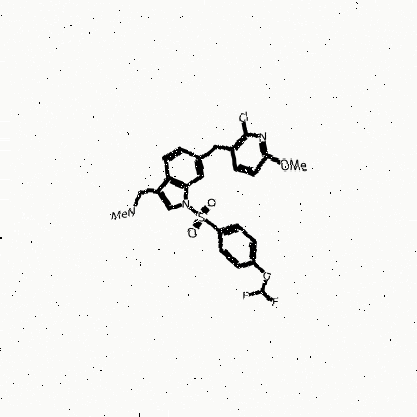 CNCc1cn(S(=O)(=O)c2ccc(OC(F)F)cc2)c2cc(Cc3ccc(OC)nc3Cl)ccc12